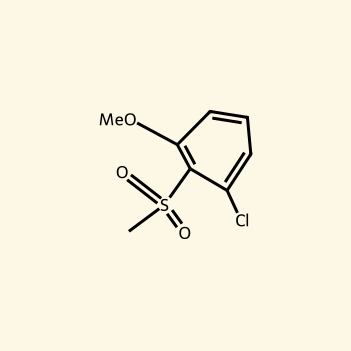 COc1cccc(Cl)c1S(C)(=O)=O